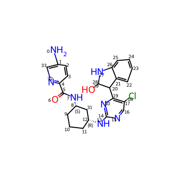 Nc1ccc(C(=O)N[C@H]2CCC[C@@H](Nc3ncc(Cl)c(C4c5ccccc5NC4O)n3)C2)nc1